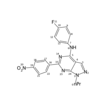 CCCn1ncc2c(Nc3ccc(F)cc3)nc(-c3ccc([N+](=O)[O-])cc3)nc21